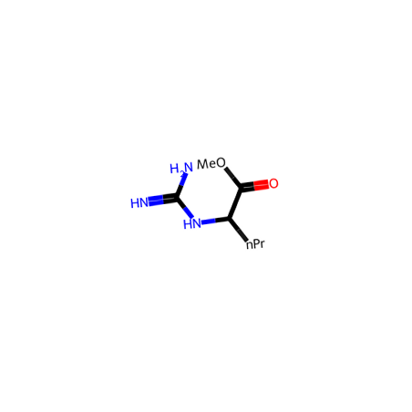 CCCC(NC(=N)N)C(=O)OC